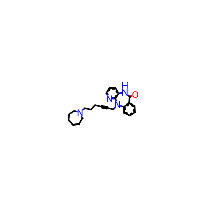 O=C1Nc2cccnc2N(CC#CCCCN2CCCCCC2)c2ccccc21